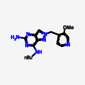 CCCCNc1nc(N)nc2cn(Cc3ccncc3OC)nc12